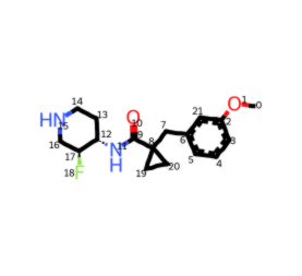 COc1cccc(CC2(C(=O)N[C@H]3CCNC[C@@H]3F)CC2)c1